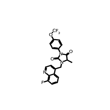 CC1C(=O)N(c2ccc(OC(F)(F)F)cc2)C(=O)N1Cc1ccnc2c(F)cccc12